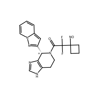 O=NC1(C(F)(F)C(=O)N2CCc3[nH]cnc3[C@@H]2c2cc3ccccn3n2)CCC1